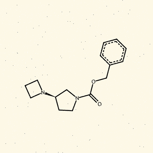 O=C(OCc1ccccc1)N1CC[C@@H](N2CCC2)C1